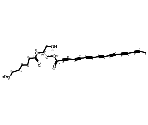 CC#CC#CC#CC#CC#CC#CC#CC(=O)OC[C@@H](CO)OC(=O)CCCCCCCCCCCCCCC